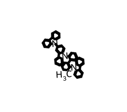 CC1CC=CC(c2ccccc2-n2c3ccccc3c3cc(-n4c5ccccc5c5ccccc54)ccc32)=C1n1c2ccccc2c2ccccc21